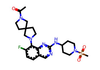 CC(=O)N1CCC2(CCN(c3c(F)ccc4cnc(NC5CCN(S(C)(=O)=O)CC5)nc34)C2)C1